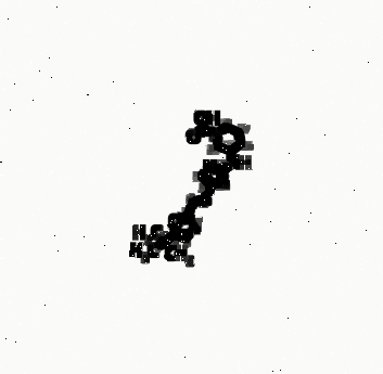 CC(C)(C)c1cnc(CSc2cnc(NC3CCCN(C(=O)O)C3)s2)o1